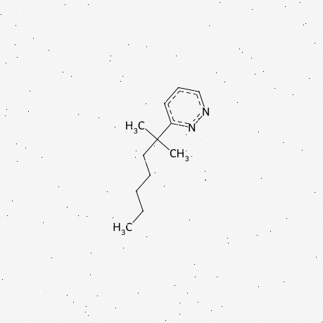 CCCCCC(C)(C)c1cccnn1